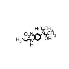 CC(O)N(c1ccc(NCCN)c([N+](=O)[O-])c1)C(C)O